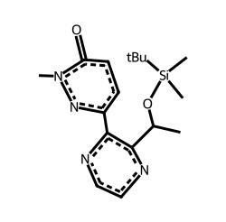 CC(O[Si](C)(C)C(C)(C)C)c1nccnc1-c1ccc(=O)n(C)n1